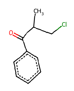 CC(CCl)C(=O)c1ccccc1